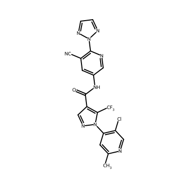 Cc1cc(-n2ncc(C(=O)Nc3cnc(-n4nccn4)c(C#N)c3)c2C(F)(F)F)c(Cl)cn1